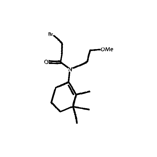 COCCN(C(=O)CBr)C1=C(C)C(C)(C)CCC1